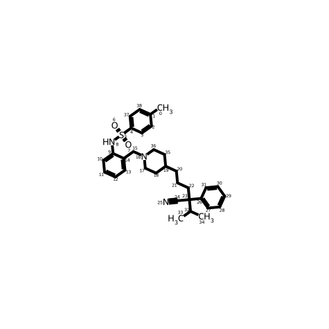 Cc1ccc(S(=O)(=O)Nc2ccccc2CN2CCC(CCCC(C#N)(c3ccccc3)C(C)C)CC2)cc1